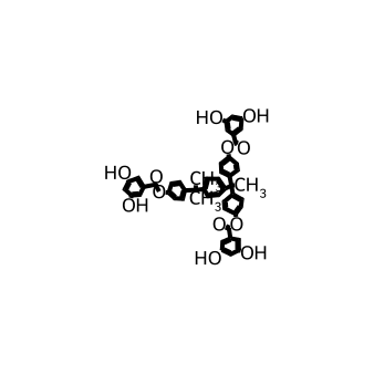 CC(C)(c1ccc(OC(=O)c2cc(O)cc(O)c2)cc1)c1ccc(C(C)(c2ccc(OC(=O)c3cc(O)cc(O)c3)cc2)c2ccc(OC(=O)c3cc(O)cc(O)c3)cc2)cc1